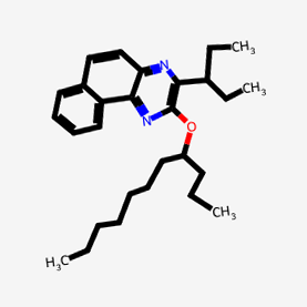 CCCCCCCC(CCC)Oc1nc2c(ccc3ccccc32)nc1C(CC)CC